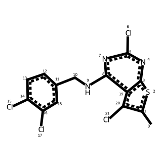 Cc1sc2nc(Cl)nc(NCc3ccc(Cl)c(Cl)c3)c2c1Cl